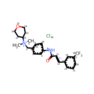 C[N+](C)(Cc1ccc(NC(=O)/C=C/c2cccc(C(F)(F)F)c2)cc1)C1CCOCC1.[Cl-]